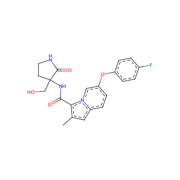 Cc1cc2ccc(Oc3ccc(F)cc3)cn2c1C(=O)NC1(CO)CCNC1=O